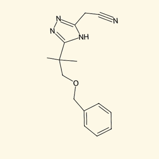 CC(C)(COCc1ccccc1)c1nnc(CC#N)[nH]1